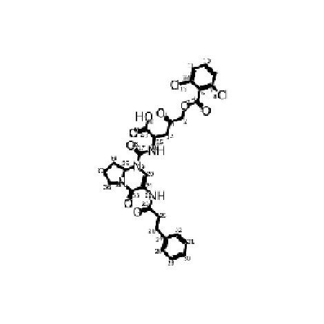 O=C(COC(=O)c1c(Cl)cccc1Cl)CC(NC(=O)N1C=C(NC(=O)CCc2ccccc2)C(=O)N2CCCC12)C(=O)O